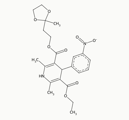 CCOC(=O)C1=C(C)NC(C)=C(C(=O)OCCC2(C)OCCO2)C1c1cccc([N+](=O)[O-])c1